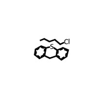 CCCCCCl.c1ccc2c(c1)Cc1ccccc1S2